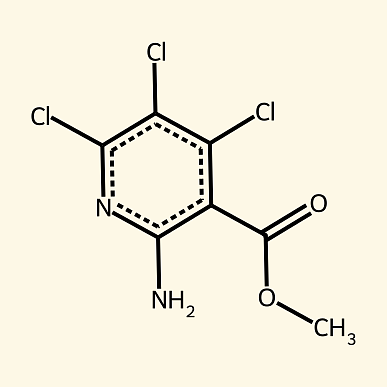 COC(=O)c1c(N)nc(Cl)c(Cl)c1Cl